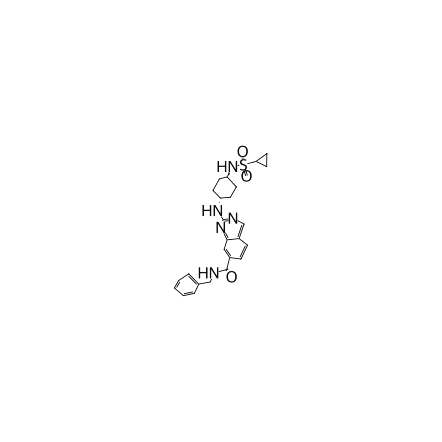 O=C(NCc1ccccc1)c1ccc2cnc(N[C@H]3CC[C@H](NS(=O)(=O)C4CC4)CC3)nc2c1